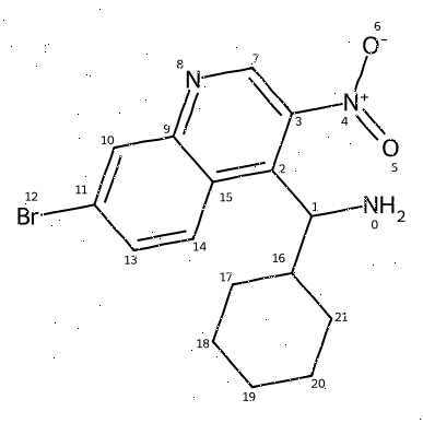 NC(c1c([N+](=O)[O-])cnc2cc(Br)ccc12)C1CCCCC1